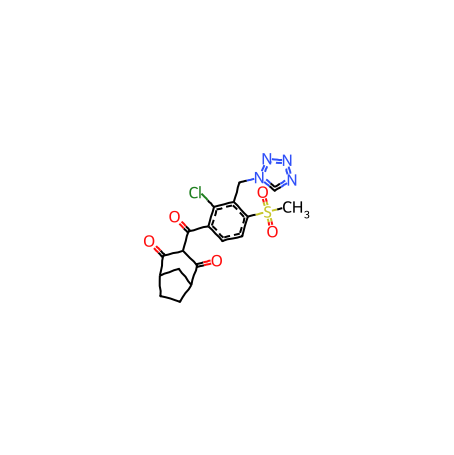 CS(=O)(=O)c1ccc(C(=O)C2C(=O)C3CCC(C3)C2=O)c(Cl)c1Cn1cnnn1